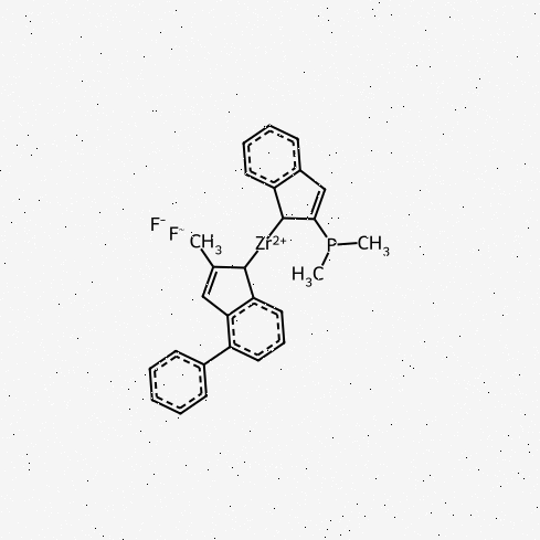 CC1=Cc2c(-c3ccccc3)cccc2[CH]1[Zr+2][CH]1C(P(C)C)=Cc2ccccc21.[F-].[F-]